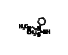 CN(C)Cc1csc(=N)n1C1CCCCC1